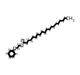 CCCCCCCCCCCCCCCCCCCC(=O)OCCOc1ccccc1